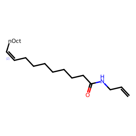 C=CCNC(=O)CCCCCCC/C=C\CCCCCCCC